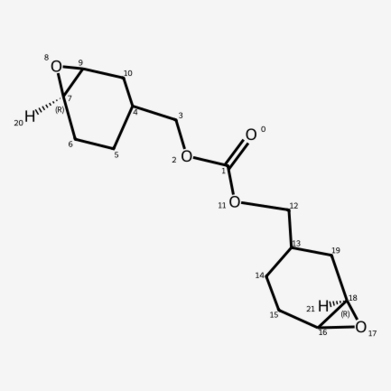 O=C(OCC1CC[C@H]2OC2C1)OCC1CCC2O[C@@H]2C1